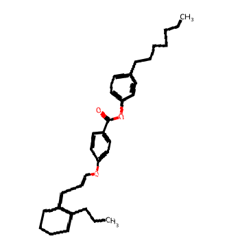 CCCCCCCc1ccc(OC(=O)c2ccc(OCCCC3CCCCC3CCC)cc2)cc1